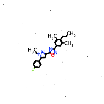 C=CCc1c(C)cc(-c2noc(-c3cc(-c4ccc(F)cc4)n(CC)n3)n2)cc1C